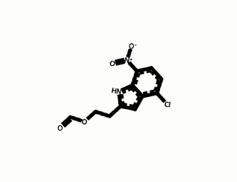 O=COCCc1cc2c(Cl)ccc([N+](=O)[O-])c2[nH]1